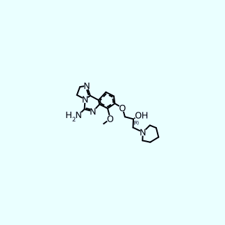 COc1c(OC[C@H](O)CN2CCCCC2)ccc2c1N=C(N)N1CCN=C21